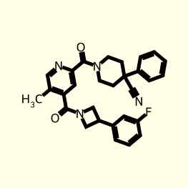 Cc1cnc(C(=O)N2CCC(C#N)(c3ccccc3)CC2)cc1C(=O)N1CC(c2cccc(F)c2)C1